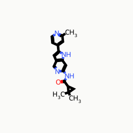 Cc1cc(-c2cc3cnc(NC(=O)C4CC4(C)C)cc3[nH]2)ccn1